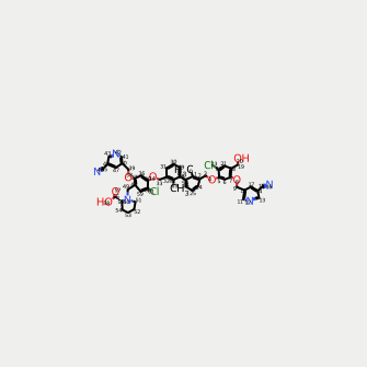 Cc1c(COc2cc(OCc3cncc(C#N)c3)c(CO)cc2Cl)cccc1-c1cccc(COc2cc(OCc3cncc(C#N)c3)c(CN3CCCC[C@H]3C(=O)O)cc2Cl)c1C